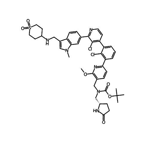 COc1nc(-c2cccc(-c3ccnc(-c4ccc5c(CNC6CCS(=O)(=O)CC6)cn(C)c5c4)c3Cl)c2Cl)ccc1CN(C[C@@H]1CCC(=O)N1)C(=O)OC(C)(C)C